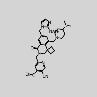 CCOc1cc(CN2CC3(CCC3)c3c(CN4CCC(N(C)C)CC4)cc(Cn4ccnc4NC)cc3C2=O)ncc1C#N